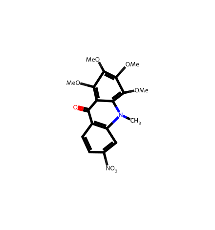 COc1c(OC)c(OC)c2c(c1OC)c(=O)c1ccc([N+](=O)[O-])cc1n2C